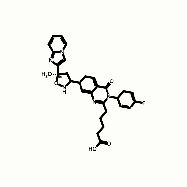 C[C@]1(c2cn3ccccc3n2)CC(C2C=c3nc(CCCCC(=O)O)n(C4C=CC(F)=CC4)c(=O)c3=CC2)NO1